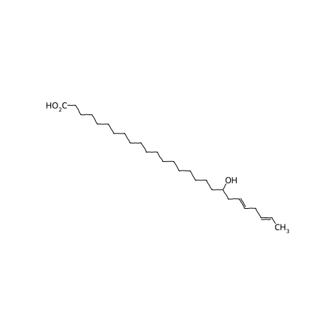 CC=CCC=CCC(O)CCCCCCCCCCCCCCCCCCC(=O)O